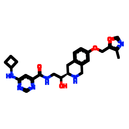 Cc1ncoc1COc1ccc2c(c1)CN[C@H](C(O)CNC(=O)c1cc(NC3CCC3)ncn1)C2